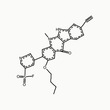 C#Cc1ccc2c(c1)[nH]c1c2c(=O)c2cc(OCCCC)c(-c3cncc(S(=O)(=O)F)c3)cc2n1C